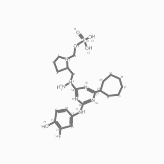 NN(CC1CCCN1COP(=O)(O)O)c1nc(Nc2ccc(O)c(F)c2)nc(C2CCCCCC2)n1